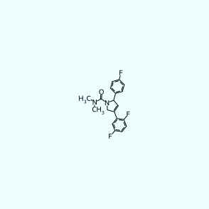 CN(C)C(=O)N1CC(c2cc(F)ccc2F)=CC1c1ccc(F)cc1